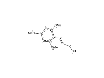 COc1cc(OC)c(C=CCO)c(OC)c1